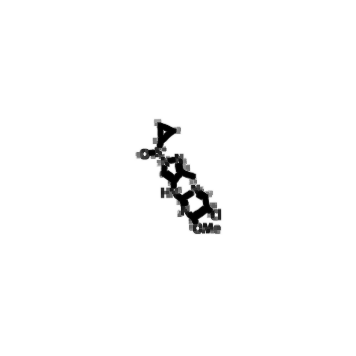 COc1nc(Nc2cn([S+]([O-])C3CC3)nc2C)ncc1Cl